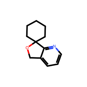 c1cnc2c(c1)COC21CCCCC1